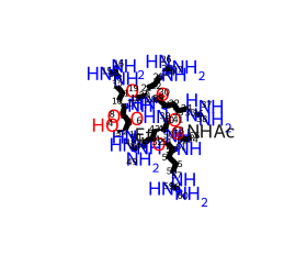 CCN[C@@H](CO)C(=O)C(=O)[C@H](CCCNC(=N)N)NC(=O)[C@H](CCCNC(=N)N)NC(=O)C(CCCNC(=N)N)NC(=O)[C@H](CCCNC(=N)N)NC(=O)C(CCCNC(=N)N)NC(=O)CNC(C)=O